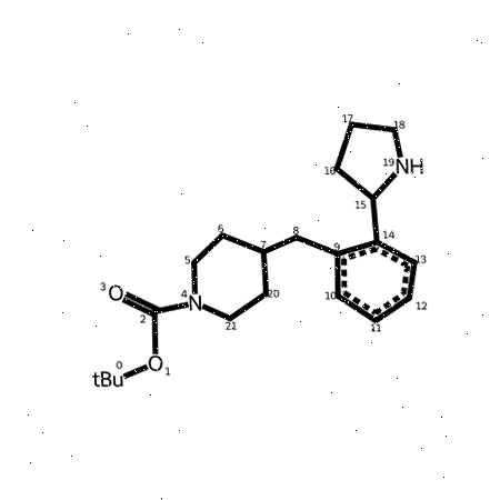 CC(C)(C)OC(=O)N1CCC(Cc2ccccc2C2CCCN2)CC1